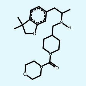 CCN(CC1CCN(C(=O)N2CCOCC2)CC1)C(C)Cc1ccc2c(c1)OCC2(C)C